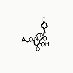 O=C1c2c(O)c(=O)cc(OCC3CC3)n2CCN1Cc1ccc(F)cc1